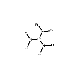 CC[N](CC)[Hf]([N](CC)CC)[N](CC)CC